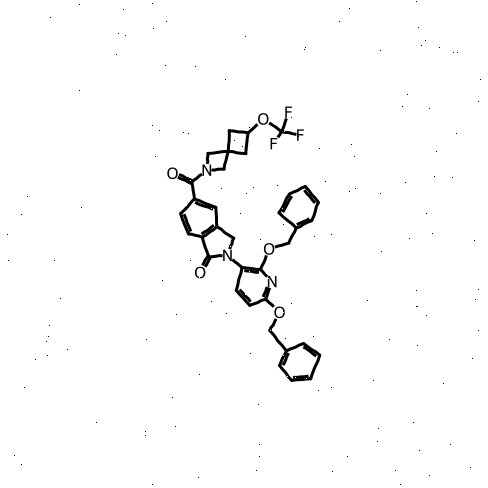 O=C(c1ccc2c(c1)CN(c1ccc(OCc3ccccc3)nc1OCc1ccccc1)C2=O)N1CC2(CC(OC(F)(F)F)C2)C1